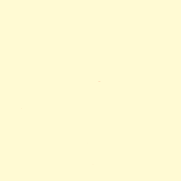 Clc1cccc2c1-c1cc(Br)ccc1[Si]2(c1ccccc1)c1ccccc1